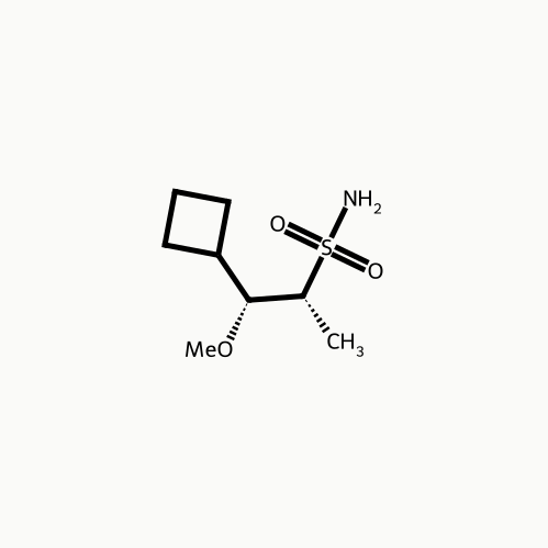 CO[C@H](C1CCC1)[C@@H](C)S(N)(=O)=O